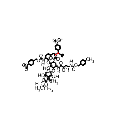 Cc1ccc(COC(=O)NCC[C@H](O)C(=O)N[C@@H]2C[C@H](NC(=O)OCc3ccc([N+](=O)[O-])cc3)[C@@H](O[C@H]3OC(CNCC4CC4)=CC[C@H]3NC(=O)OCc3ccc([N+](=O)[O-])cc3)[C@H](O)[C@H]2O[C@H]2OC[C@](C)(O)[C@H](N(C)C(=O)OC(C)(C)C)[C@H]2O)cc1